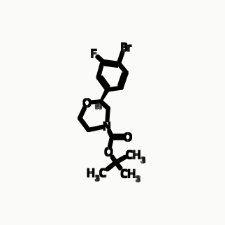 CC(C)(C)OC(=O)N1CCO[C@@H](c2ccc(Br)c(F)c2)C1